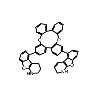 C1=Cc2c(oc3cccc(-c4ccc5c(c4)Oc4ccccc4-c4ccccc4Oc4cc(-c6cccc7oc8c(c67)CCCN8)ccc4-5)c23)NC1